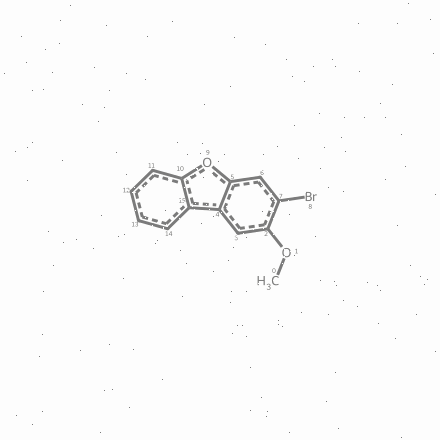 COc1cc2c(cc1Br)oc1ccccc12